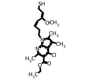 CCOC(=O)c1c(C)nc2c(c(C)c(C)n2CC/C=C\C(=C/CS)OC)c1Cl